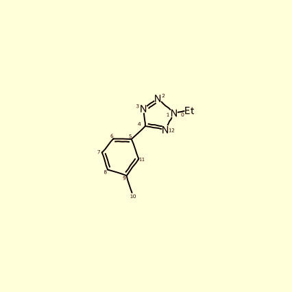 CCn1nnc(-c2cccc(C)c2)n1